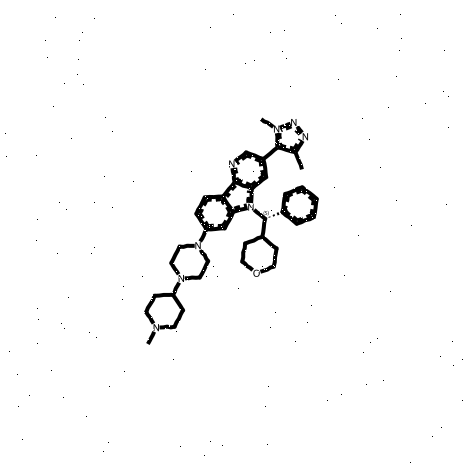 Cc1nnn(C)c1-c1cnc2c3ccc(N4CCN(C5CCN(C)CC5)CC4)cc3n([C@H](c3ccccc3)C3CCOCC3)c2c1